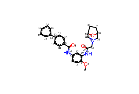 COc1ccc(NC(=O)c2ccc(-c3ccccc3)cc2)cc1NC(=O)CN1CC2CCC(C1)O2